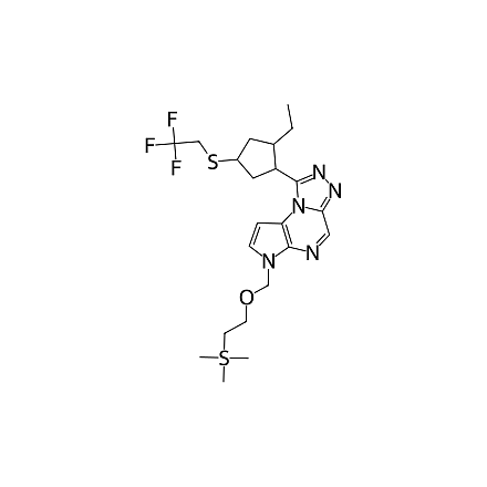 CCC1CC(SCC(F)(F)F)CC1c1nnc2cnc3c(ccn3COCCS(C)(C)C)n12